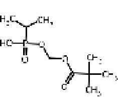 CC(C)P(=O)(O)OCOC(=O)C(C)(C)C